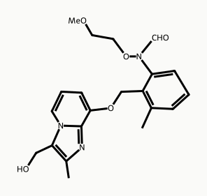 COCCON(C=O)c1cccc(C)c1COc1cccn2c(CO)c(C)nc12